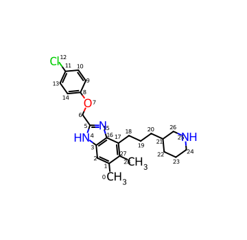 Cc1cc2[nH]c(COc3ccc(Cl)cc3)nc2c(CCCC2CCCNC2)c1C